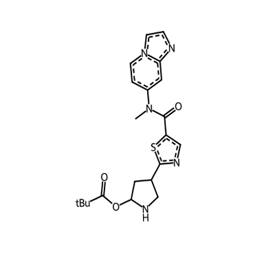 CN(C(=O)c1cnc(C2CNC(OC(=O)C(C)(C)C)C2)s1)c1ccn2ccnc2c1